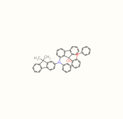 CC1(C)c2ccccc2-c2ccc(N(c3ccccc3)c3cccc4c3[C@](O)(c3ccccc3Oc3ccccc3)c3ccccc3-4)cc21